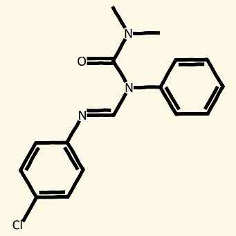 CN(C)C(=O)N(C=Nc1ccc(Cl)cc1)c1ccccc1